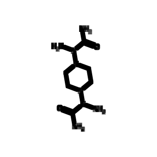 NC(=O)N(N)N1CCN(N(N)C(N)=O)CC1